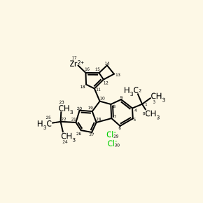 CC(C)(C)c1ccc2c(c1)C(C1=C3CCC3=[C]([Zr+2])C1)c1cc(C(C)(C)C)ccc1-2.[Cl-].[Cl-]